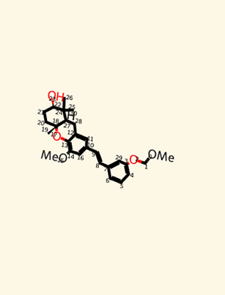 COCOc1cccc(/C=C/c2cc3c(c(OC)c2)O[C@]2(C)CC[C@@H](O)C(C)(C)[C@H]2C3)c1